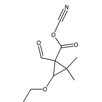 CCOC1C(C)(C)C1(C=O)C(=O)OC#N